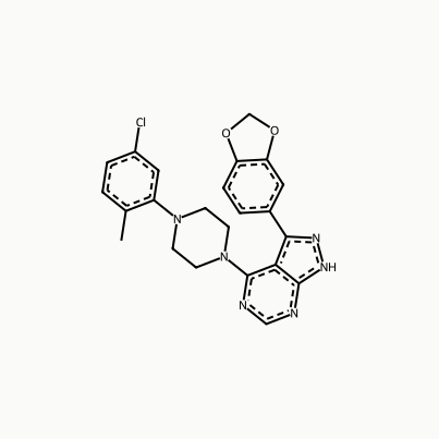 Cc1ccc(Cl)cc1N1CCN(c2ncnc3[nH]nc(-c4ccc5c(c4)OCO5)c23)CC1